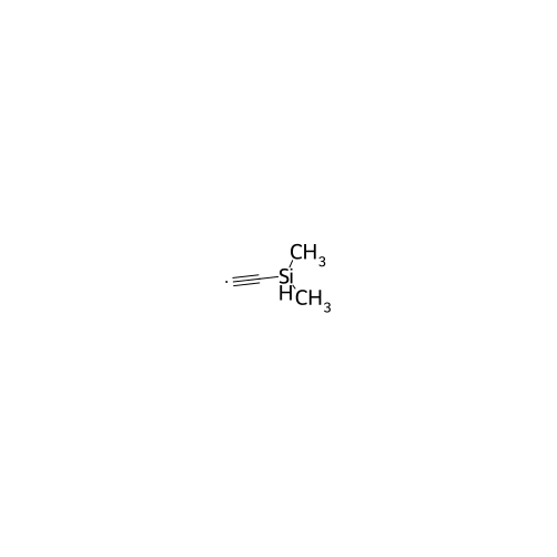 [C]#C[SiH](C)C